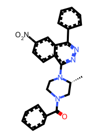 C[C@@H]1CN(C(=O)c2ccccc2)CCN1c1nnc(-c2ccccc2)c2cc([N+](=O)[O-])ccc12